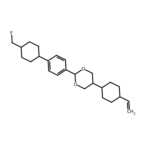 C=CC1CCC(C2COC(c3ccc(C4CCC(CF)CC4)cc3)OC2)CC1